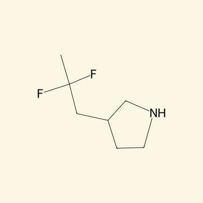 CC(F)(F)CC1CCNC1